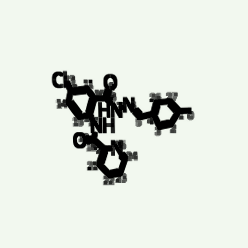 Cc1ccc(C=NNC(=O)c2cc(Cl)ccc2NC(=O)c2ccccn2)cc1